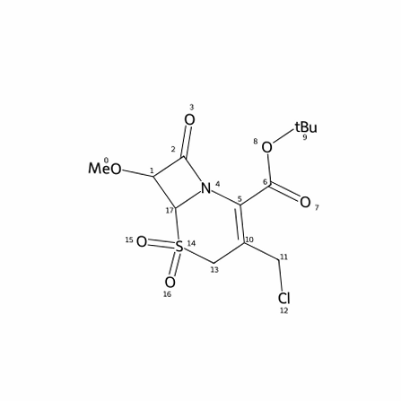 COC1C(=O)N2C(C(=O)OC(C)(C)C)=C(CCl)CS(=O)(=O)C12